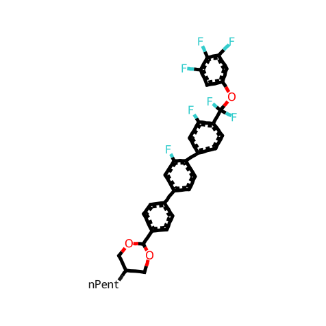 CCCCCC1COC(c2ccc(-c3ccc(-c4ccc(C(F)(F)Oc5cc(F)c(F)c(F)c5)c(F)c4)c(F)c3)cc2)OC1